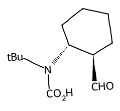 CC(C)(C)N(C(=O)O)[C@@H]1CCCC[C@H]1C=O